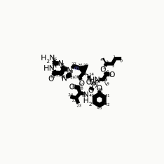 CCC[C@H](C)OC(=O)[C@H](C)N[P@](=O)(OC[C@@]1(COC(=O)C(N)C(C)C)C/C1=C/n1cnc2c(=O)[nH]c(N)nc21)Oc1ccccc1